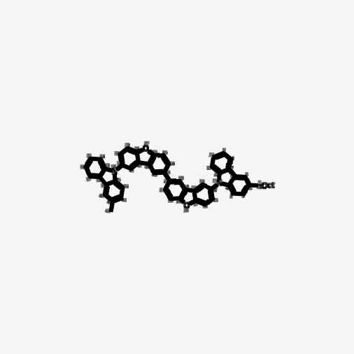 CCCCCCCCc1ccc2c(c1)c1ccccc1n2-c1ccc2oc3ccc(-c4ccc5oc6ccc(-n7c8ccccc8c8cc(C)ccc87)cc6c5c4)cc3c2c1